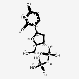 O=c1ccn([C@H]2C[C@H](OP(=O)(O)OP(=O)(O)O)[C@@H](CO)O2)c(=O)[nH]1